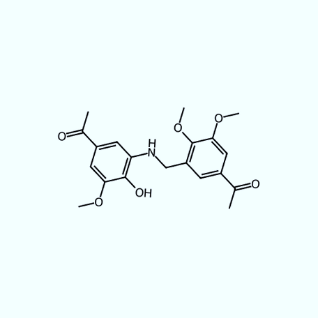 COc1cc(C(C)=O)cc(NCc2cc(C(C)=O)cc(OC)c2OC)c1O